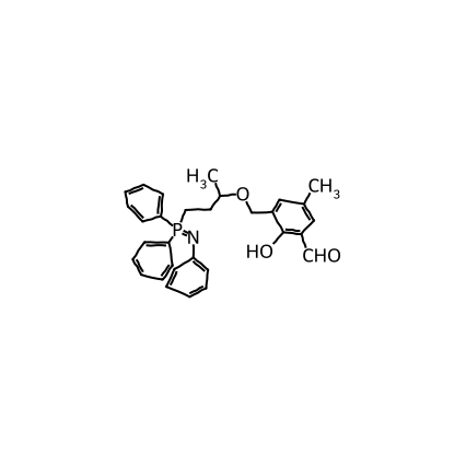 Cc1cc(C=O)c(O)c(COC(C)CCP(=Nc2ccccc2)(c2ccccc2)c2ccccc2)c1